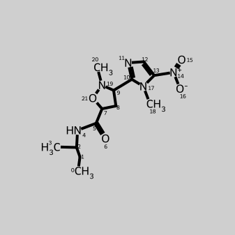 CCC(C)NC(=O)C1CC(c2ncc([N+](=O)[O-])n2C)N(C)O1